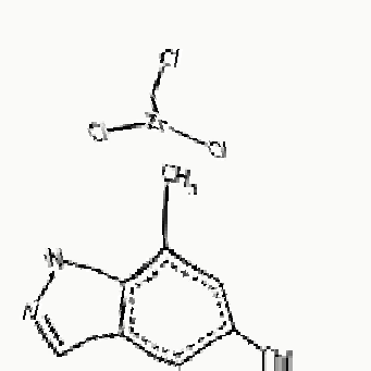 Cc1cc(C)c2c(c1)C=N[N]2.[Cl][Zr]([Cl])[Cl]